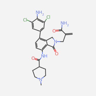 C=C(CN1Cc2c(-c3cc(Cl)c(N)c(Cl)c3)ccc(NC(=O)C3CCN(C)CC3)c2C1=O)C(N)=O